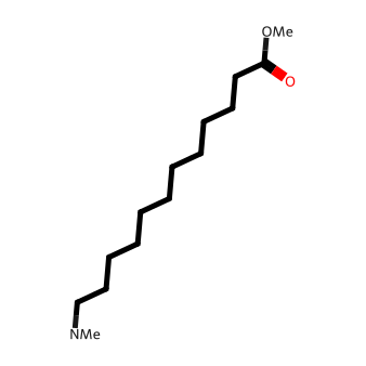 CNCCCCCCCCCCCC(=O)OC